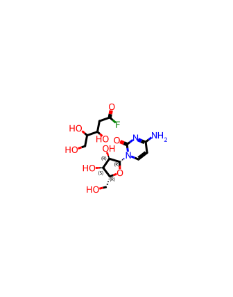 Nc1ccn([C@@H]2O[C@H](CO)[C@@H](O)[C@H]2O)c(=O)n1.O=C(F)CC(O)C(O)CO